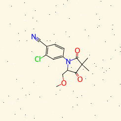 COCC1C(=O)C(C)(C)C(=O)N1c1ccc(C#N)c(Cl)c1